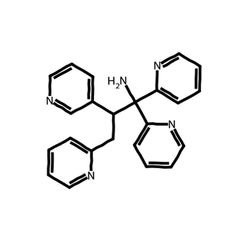 NC(c1ccccn1)(c1ccccn1)C(Cc1ccccn1)c1cccnc1